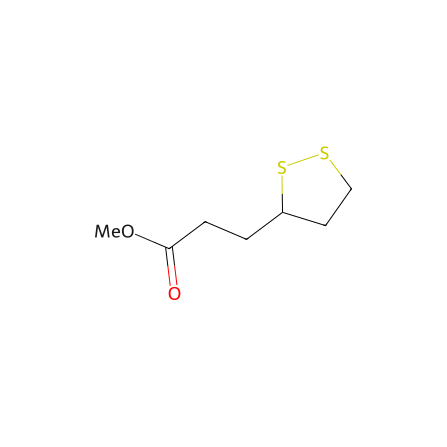 COC(=O)CCC1CCSS1